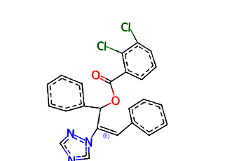 O=C(OC(/C(=C\c1ccccc1)n1cncn1)c1ccccc1)c1cccc(Cl)c1Cl